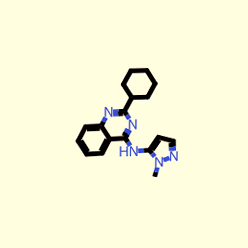 Cn1nccc1Nc1nc(C2CCCCC2)nc2ccccc12